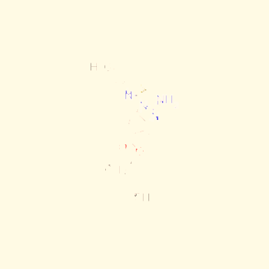 CCCCCC(CC)OC(=O)c1ccc2c(c1)nc(N)n2C1=NC(CCC)CS1